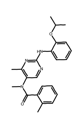 Cc1ccccc1C(=O)N(C)c1cnc(Nc2ccccc2OC(C)C)nc1C